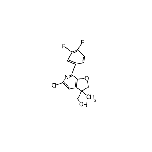 CC1(CO)COc2c1cc(Cl)nc2-c1ccc(F)c(F)c1